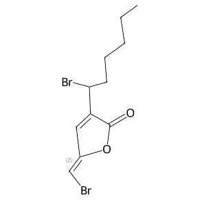 CCCCCC(Br)C1=C/C(=C/Br)OC1=O